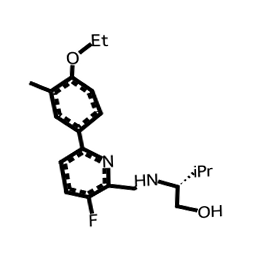 CCOc1ccc(-c2ccc(F)c(CN[C@@H](CO)C(C)C)n2)cc1C